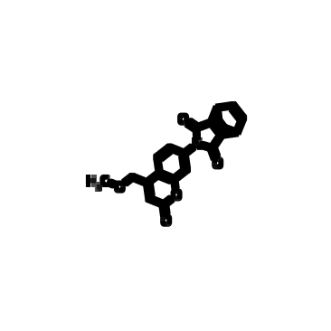 COCc1cc(=O)oc2cc(N3C(=O)C4C5C=CC(CC5)C4C3=O)ccc12